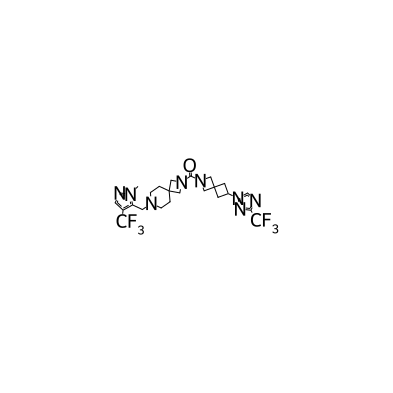 Cn1ncc(C(F)(F)F)c1CN1CCC2(CC1)CN(C(=O)N1CC3(CC(n4cnc(C(F)(F)F)n4)C3)C1)C2